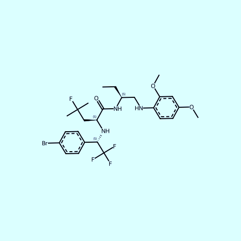 CC[C@@H](CNc1ccc(OC)cc1OC)NC(=O)[C@H](CC(C)(C)F)N[C@@H](c1ccc(Br)cc1)C(F)(F)F